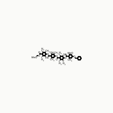 CCc1c(C)c(C(=O)OCOC)c(C)c(C)c1OC(=O)c1c(C)cc(OC(=O)c2c(C)c(C)c(OC(=O)c3c(C)cc(OCc4ccccc4)cc3OC)c(C)c2C)c(C)c1O